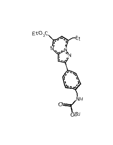 CCOC(=O)c1cc(CC)n2nc(-c3ccc(NC(=O)OCC(C)C)cc3)cc2n1